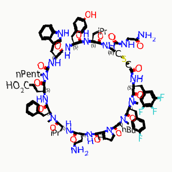 CCCCCN1C(=O)N[C@@H](Cc2c[nH]c3ccccc23)C(=O)N[C@@H](Cc2ccc(O)cc2)C(=O)N[C@@H](CC(C)C)C(=O)N[C@H](C(=O)NCC(N)=O)CSCC(=O)N[C@@H](Cc2cc(F)c(F)c(F)c2)C(=O)N(C)[C@@H](Cc2ccc(F)cc2)C(=O)N(C)[C@@H](CCCC)C(=O)N2CCC[C@@H]2C(=O)N[C@@H](CCN)C(=O)N[C@@H](C(C)C)C(=O)N(C)[C@@H](Cc2ccccc2)C(=O)N[C@@H](CCC(=O)O)C1=O